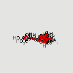 CCCC[C@H](NC(=O)CCC(=O)NCCCOCCOCCOCCCNC(=O)CN1CCN(CC(=O)O)CCN(CC(=O)O)CCN(CC(=O)O)CC1)C(=O)N[C@@H](CSC1=C(SC[C@H](NC(=O)[C@H](Cc2ccccc2)NC(=O)[C@H](CCC(N)=O)NC(=O)C[C@@H](C)O)C(=O)N[C@@H](CC(=O)O)C(N)=O)C(=O)NC1=O)C(=O)N1CCC[C@H]1C(=O)N1CCC[C@H]1C(N)=O